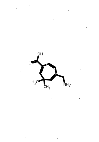 CC1(C)C=C(CN)C=CC(C(=O)O)=C1